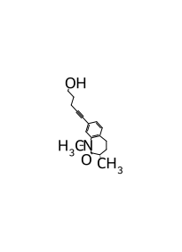 C[C@H]1CCc2ccc(C#CCCCO)cc2N(C)C1=O